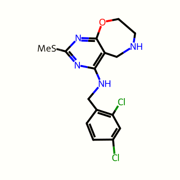 CSc1nc(NCc2ccc(Cl)cc2Cl)c2c(n1)OCCNC2